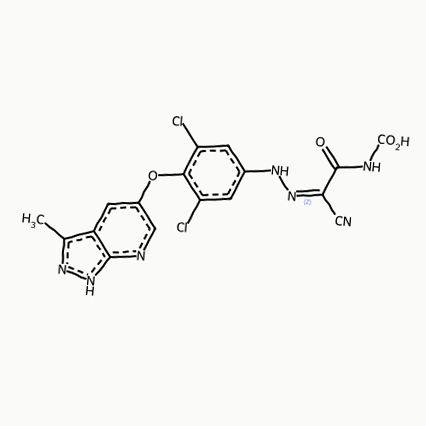 Cc1n[nH]c2ncc(Oc3c(Cl)cc(N/N=C(/C#N)C(=O)NC(=O)O)cc3Cl)cc12